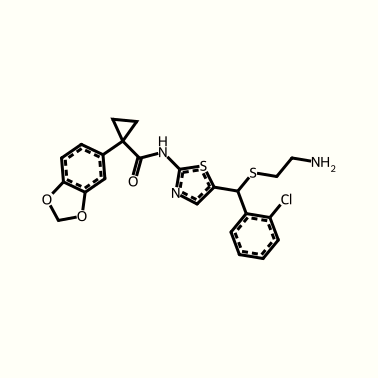 NCCSC(c1cnc(NC(=O)C2(c3ccc4c(c3)OCO4)CC2)s1)c1ccccc1Cl